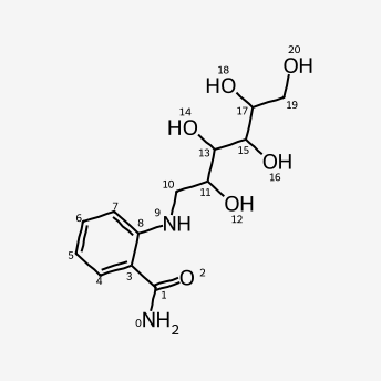 NC(=O)c1ccccc1NCC(O)C(O)C(O)C(O)CO